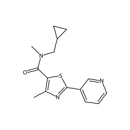 Cc1nc(-c2cccnc2)sc1C(=O)N(C)CC1CC1